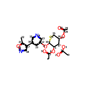 CC(=O)O[C@@H]1[C@@H](OC(C)=O)[C@@H](Oc2cncc(-c3cnoc3C)c2)SC[C@H]1OC(C)=O